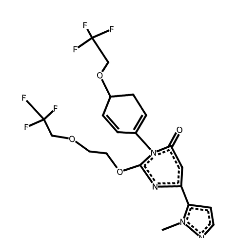 Cn1nccc1-c1cc(=O)n(C2=CCC(OCC(F)(F)F)C=C2)c(OCCOCC(F)(F)F)n1